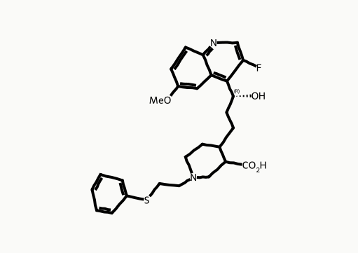 COc1ccc2ncc(F)c([C@H](O)CCC3CCN(CCSc4ccccc4)CC3C(=O)O)c2c1